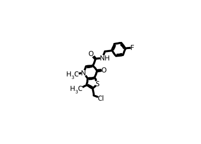 Cc1c(CCl)sc2c(=O)c(C(=O)NCc3ccc(F)cc3)cn(C)c12